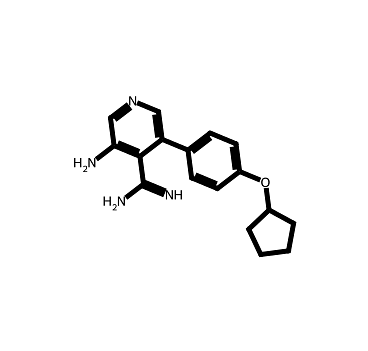 N=C(N)c1c(N)cncc1-c1ccc(OC2CCCC2)cc1